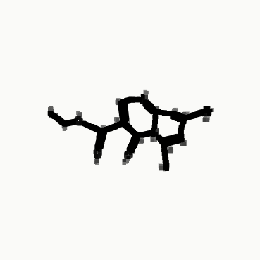 CCOC(=O)c1cnc2cc(Br)cc(C)n2c1=O